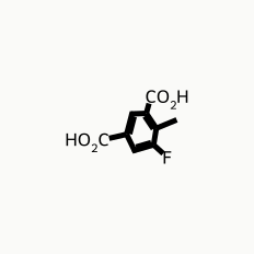 Cc1c(F)cc(C(=O)O)cc1C(=O)O